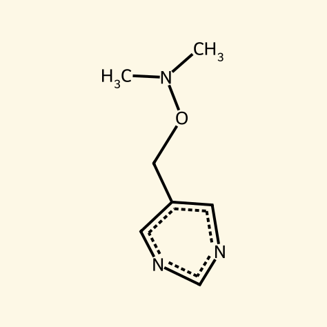 CN(C)OCc1cncnc1